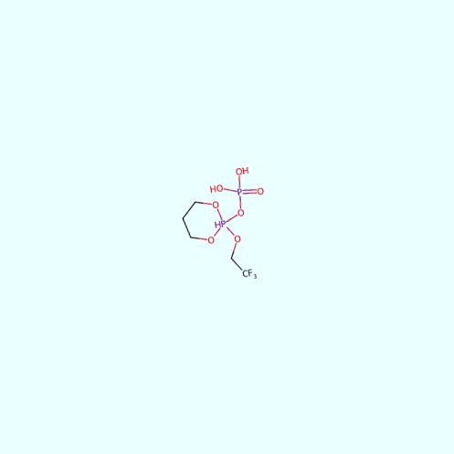 O=P(O)(O)O[PH]1(OCC(F)(F)F)OCCCO1